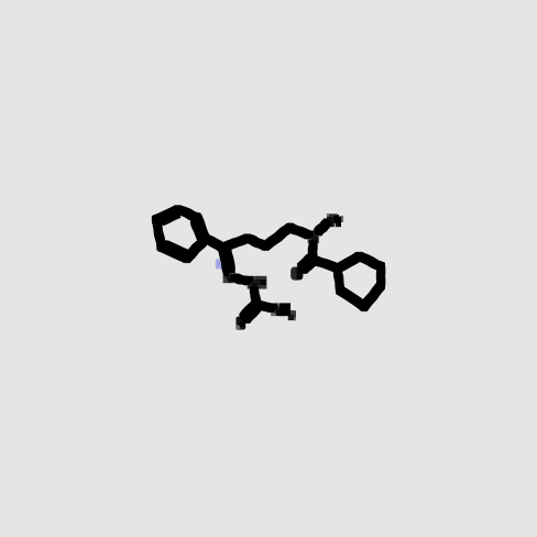 CC(C)N(CCC/C(=N\NC(N)=S)c1ccccc1)C(=O)C1CCCCC1